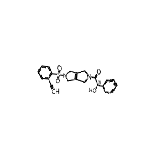 C#Cc1ccccc1S(=O)(=O)N1CC2=C(CN(C(=O)[C@H](O)c3ccccc3)C2)C1